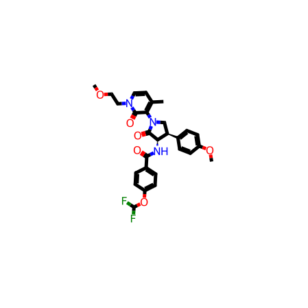 COCCn1ccc(C)c(N2C[C@@H](c3ccc(OC)cc3)[C@H](NC(=O)c3ccc(OC(F)F)cc3)C2=O)c1=O